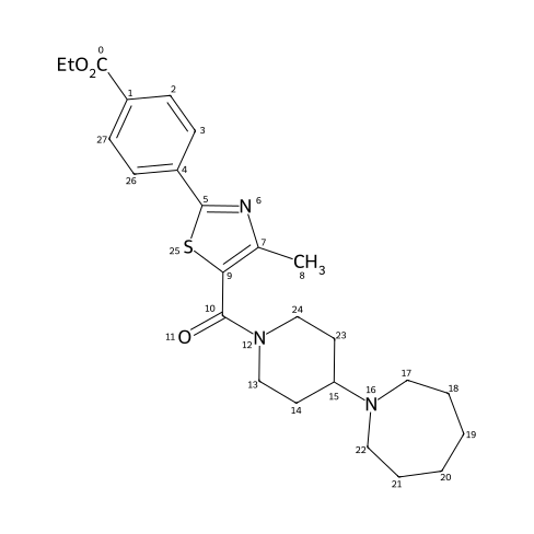 CCOC(=O)c1ccc(-c2nc(C)c(C(=O)N3CCC(N4CCCCCC4)CC3)s2)cc1